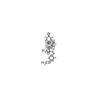 COc1ccc(C=C2C[C@H]3[C@@H]4CCC5=CC(=O)C=C[C@]5(C)[C@H]4CC[C@]3(C)C2=O)cc1